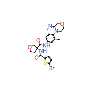 C/N=C1/COCCN1c1ccc(NC(=O)C2(NC(=O)c3ccc(Br)s3)CCOC2)cc1C